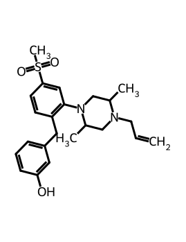 C=CCN1CC(C)N(c2cc(S(C)(=O)=O)ccc2Cc2cccc(O)c2)CC1C